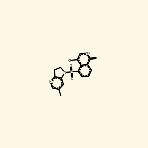 Cc1cnc2c(c1)N(S(=O)(=O)c1cccc3c(=O)[nH]cc(Cl)c13)CC2